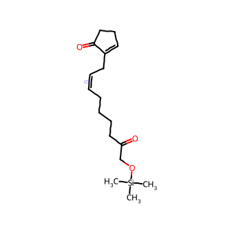 C[Si](C)(C)OCC(=O)CCCC/C=C\CC1=CCCC1=O